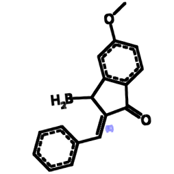 BC1/C(=C\c2ccccc2)C(=O)c2ccc(OC)cc21